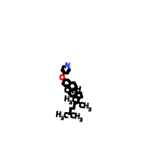 CC(C)CCC[C@@H](C)C1CCC2[C@@H]3CCC4C[C@@H](Oc5ccncc5)CC[C@]4(C)C3CC[C@@]21C